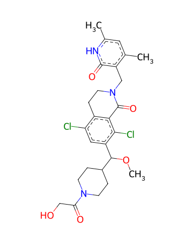 COC(c1cc(Cl)c2c(c1Cl)C(=O)N(Cc1c(C)cc(C)[nH]c1=O)CC2)C1CCN(C(=O)CO)CC1